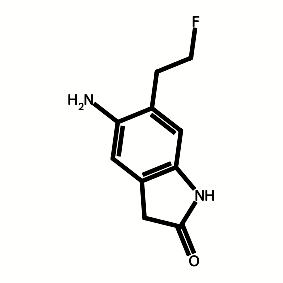 Nc1cc2c(cc1CCF)NC(=O)C2